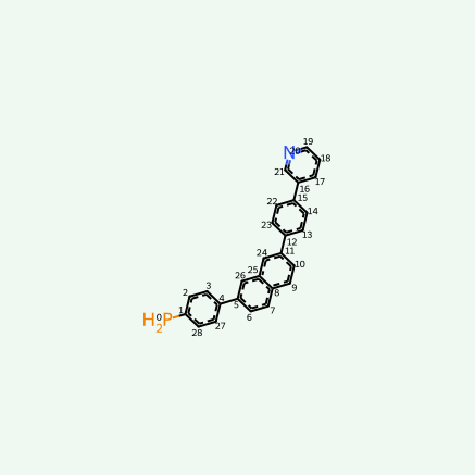 Pc1ccc(-c2ccc3ccc(-c4ccc(-c5cccnc5)cc4)cc3c2)cc1